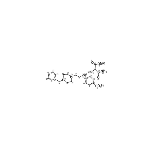 COC(=O)C(Nc1cc(C(=O)O)ccc1NCCN1CCN(Cc2ccccc2)CC1)C(N)=O